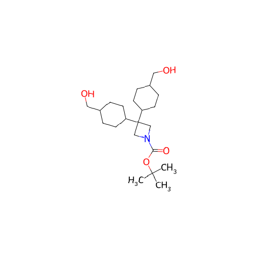 CC(C)(C)OC(=O)N1CC(C2CCC(CO)CC2)(C2CCC(CO)CC2)C1